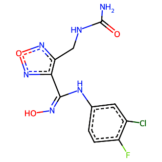 NC(=O)NCc1nonc1/C(=N\O)Nc1ccc(F)c(Cl)c1